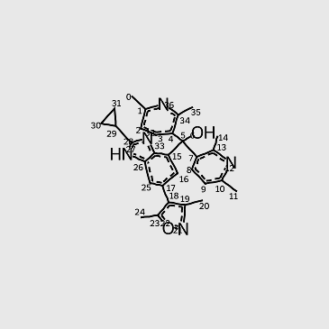 Cc1ccc(C(O)(c2ccc(C)nc2C)c2cc(-c3c(C)noc3C)cc3[nH]c(C4CC4)nc23)c(C)n1